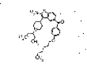 CCCCCCOc1ccc(C(=O)c2ccc3sc(N)c(C4CCN(C(CC)CC)CC4)c3c2)cc1